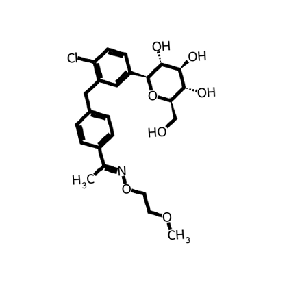 COCCON=C(C)c1ccc(Cc2cc([C@@H]3O[C@H](CO)[C@@H](O)[C@H](O)[C@H]3O)ccc2Cl)cc1